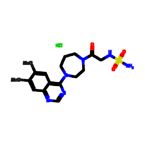 COc1cc2ncnc(N3CCCN(C(=O)CNS(N)(=O)=O)CC3)c2cc1OC.Cl